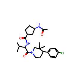 CC(=O)N[C@@H]1CC[C@H](C(=O)N[C@@H](C(=O)N2CCC(c3ccc(Cl)cc3)C(C)(C)C2)C(C)C)C1